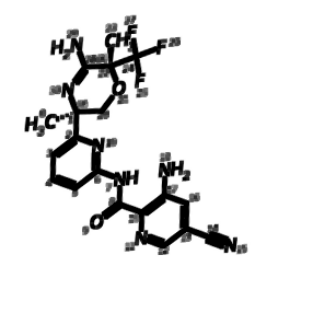 C[C@@]1(c2cccc(NC(=O)c3ncc(C#N)cc3N)n2)CO[C@@](C)(C(F)(F)F)C(N)=N1